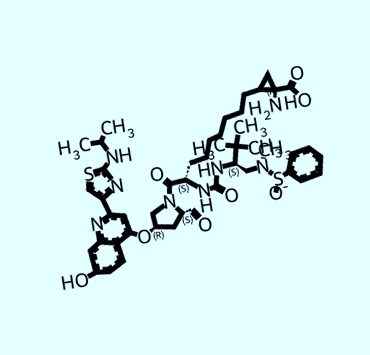 CC(C)Nc1nc(-c2cc(O[C@@H]3C[C@@H](C=O)N(C(=O)[C@H](CCCCCCCC4C[C@]4(N)C(=O)O)NC(=O)N[C@H](CN(C)[S+]([O-])c4ccccc4)C(C)(C)C)C3)c3ccc(O)cc3n2)cs1